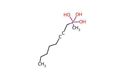 CCCCCCCCP(C)(O)(O)O